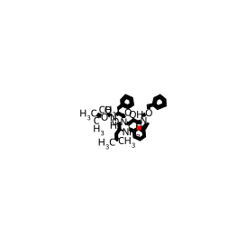 CC(C)C[C@H](N)C(=O)N(C(=O)[C@H](Cc1ccccc1)NC(=O)OC(C)(C)C)[C@@H](CC1CCCCC1)[C@@H](O)c1nccn1COCc1ccccc1